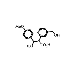 COc1ccc(C(N(C(=O)O)c2cc(CO)ccn2)C(C)(C)C)cc1